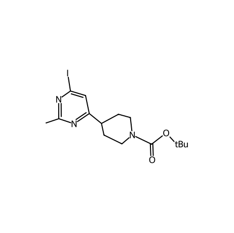 Cc1nc(I)cc(C2CCN(C(=O)OC(C)(C)C)CC2)n1